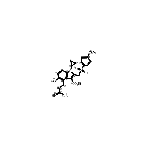 CCOC(=O)c1c(CS(=O)(=O)c2ccc(OC)cc2)n(C2CC2)c2ccc(O)c(CNC(=N)N)c12